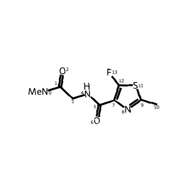 CNC(=O)CNC(=O)c1nc(C)sc1F